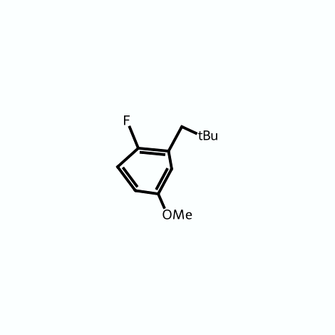 COc1ccc(F)c(CC(C)(C)C)c1